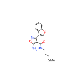 CSCCCNC(=O)c1c(-c2coc3ccccc23)noc1N